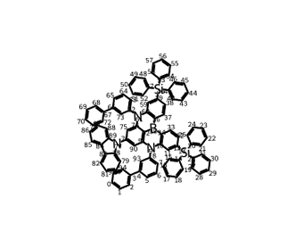 c1ccc(-c2cccc(N3c4cc([Si](c5ccccc5)(c5ccccc5)c5ccccc5)ccc4B4c5ccc([Si](c6ccccc6)(c6ccccc6)c6ccccc6)cc5N(c5cccc(-c6ccccc6)c5)c5cc(-n6c7ccccc7c7ccccc76)cc3c54)c2)cc1